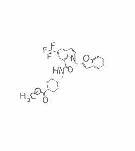 COC(=O)[C@H]1CC[C@H](CNC(=O)c2cc(C(F)(F)F)cc3ccn(Cc4cc5ccccc5o4)c23)CC1